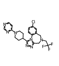 FC(F)(F)CN1Cc2cc(Cl)ccc2-n2c(nnc2C2CCN(c3ccncn3)CC2)C1